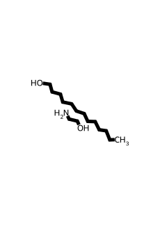 CCCCCCCCCCCCCO.NCCO